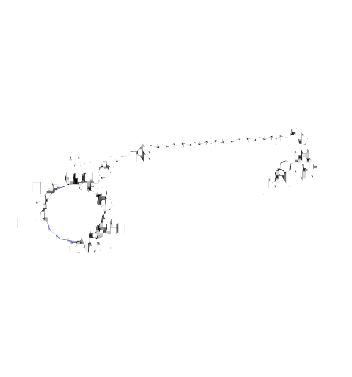 CO[C@H]1C[C@@H]2CC[C@@H](C)[C@@](O)(O2)C(=O)C(=O)N2CCCC[C@H]2C(=O)O[C@H]([C@H](N)C[C@@H]2CC[C@@H](OCCCCc3cn(CCOCCOCCOCCOCCOCCOCCOCCOCCC(=O)N4CCC(Cn5nc(-c6ccc7oc(N)nc7c6)c6c(N)ncnc65)C4)nn3)[C@H](OC)C2)CC(=O)[C@H](C)/C=C(\C)[C@@H](O)CC(=O)[C@H](C)C[C@H](C)/C=C/C=C/C=C/1C